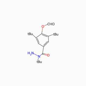 CC(C)(C)c1cc(C(=O)N(N)C(C)(C)C)cc(C(C)(C)C)c1OC=O